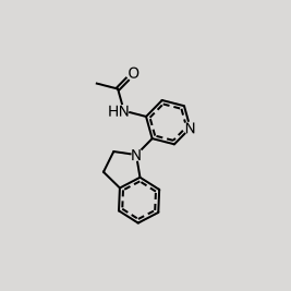 CC(=O)Nc1ccncc1N1CCc2ccccc21